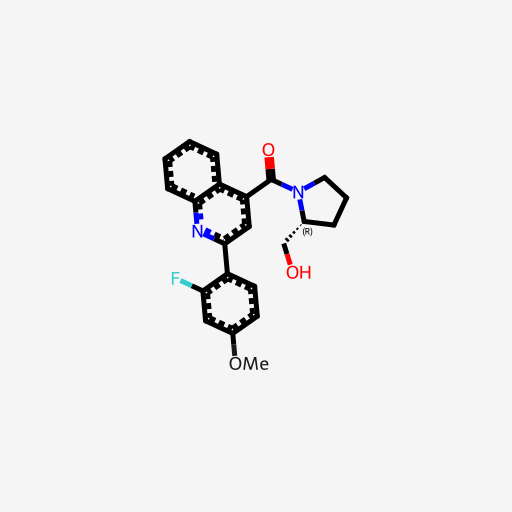 COc1ccc(-c2cc(C(=O)N3CCC[C@@H]3CO)c3ccccc3n2)c(F)c1